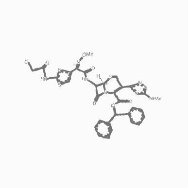 CO/N=C(\C(=O)NC1C(=O)N2C(C(=O)OC(c3ccccc3)c3ccccc3)=C(c3nnc(NC(C)=O)s3)CS[C@H]12)c1csc(NC(=O)CCl)n1